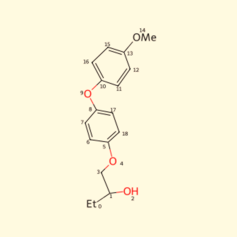 CCC(O)COc1ccc(Oc2ccc(OC)cc2)cc1